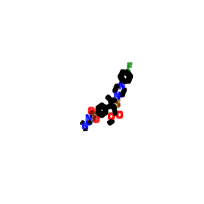 CCOC(=O)c1sc(N2CCN(c3ccc(F)cc3)CC2)c(C)c1-c1ccc(S(=O)(=O)N=CN(C)C)cc1